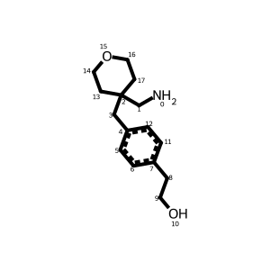 NCC1(Cc2ccc(CCO)cc2)CCOCC1